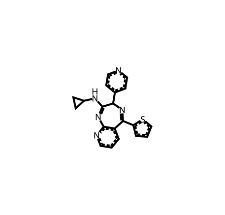 c1csc(C2=NC(c3ccncc3)C(NC3CC3)=Nc3ncccc32)c1